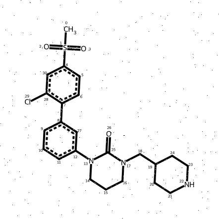 CS(=O)(=O)c1ccc(-c2cccc(N3CCCN(CC4CCNCC4)C3=O)c2)c(Cl)c1